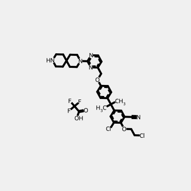 CC(C)(c1ccc(OCc2ccnc(N3CCC4(CCNCC4)CC3)n2)cc1)c1cc(Cl)c(OCCCl)c(C#N)c1.O=C(O)C(F)(F)F